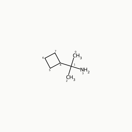 CC(C)(N)C1CCC1